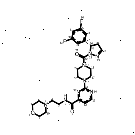 O=C(NCCN1CCOCC1)c1ccnc(N2CCN(C(=O)N3N=CC[C@H]3c3cc(F)cc(F)c3)CC2)n1